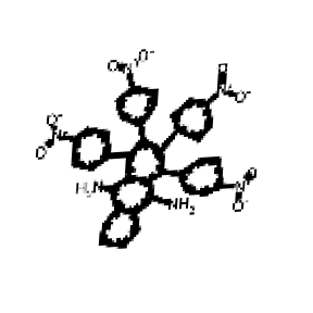 Nc1c2ccccc2c(N)c2c(-c3ccc([N+](=O)[O-])cc3)c(-c3ccc([N+](=O)[O-])cc3)c(-c3ccc([N+](=O)[O-])cc3)c(-c3ccc([N+](=O)[O-])cc3)c12